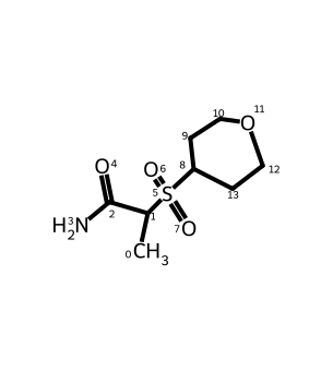 CC(C(N)=O)S(=O)(=O)C1CCOCC1